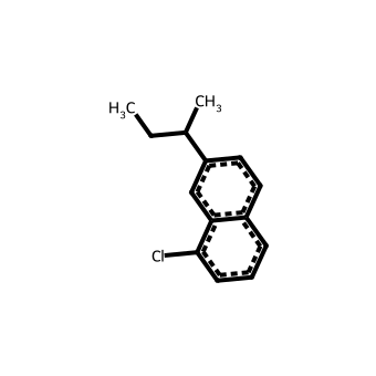 CCC(C)c1ccc2cccc(Cl)c2c1